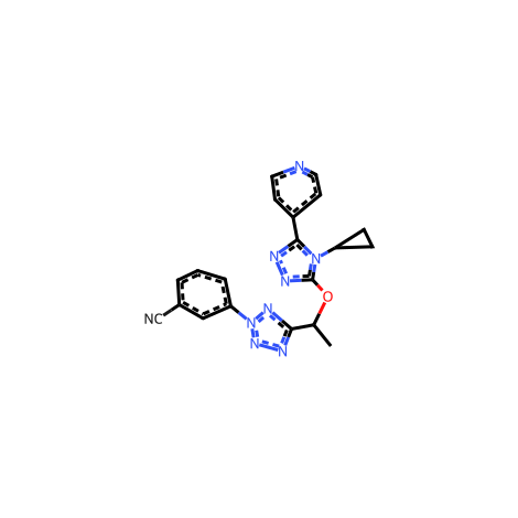 CC(Oc1nnc(-c2ccncc2)n1C1CC1)c1nnn(-c2cccc(C#N)c2)n1